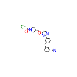 N#Cc1cccc(Cc2cccc(-c3nccc(OCC4CCN(C(=O)CCl)CC4)n3)c2)c1